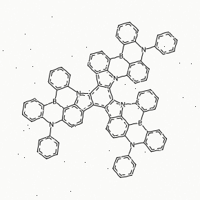 c1ccc(N2c3ccccc3B3c4c2cccc4-n2c4c3cccc4c3c4c(c5ccc6c7c5n4-c4ccccc4B7c4ccccc4N6c4ccccc4)c4c5ccc6c7c5n(c4c32)-c2ccccc2B7c2ccccc2N6c2ccccc2)cc1